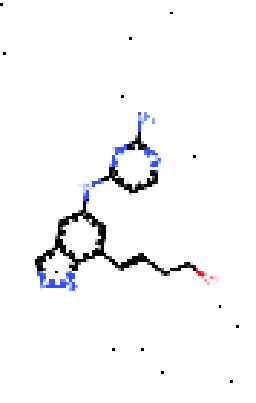 Nc1nccc(Nc2cc(C=CCCO)c3[nH]ncc3c2)n1